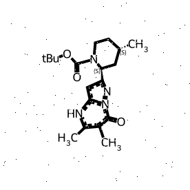 Cc1[nH]c2cc([C@@H]3C[C@@H](C)CCN3C(=O)OC(C)(C)C)nn2c(=O)c1C